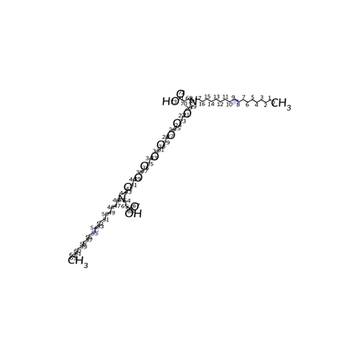 CCCCCCCC/C=C/CCCCCCCCN(CCOCCOCCOCCOCCOCCOCCOCCOCCN(CCCCCCCC/C=C/CCCCCCCC)CCC(=O)O)CCC(=O)O